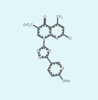 CCOC(=O)c1cn(-c2nc(-c3ccc(OC)nc3)ns2)c2nc(Cl)cc(C)c2c1=O